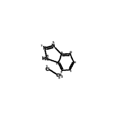 CCl.c1ccc2[nH]nnc2c1